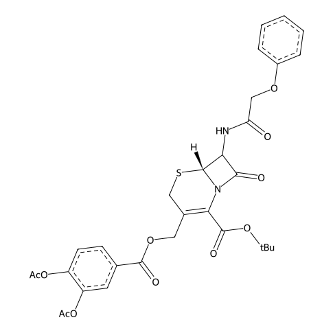 CC(=O)Oc1ccc(C(=O)OCC2=C(C(=O)OC(C)(C)C)N3C(=O)C(NC(=O)COc4ccccc4)[C@H]3SC2)cc1OC(C)=O